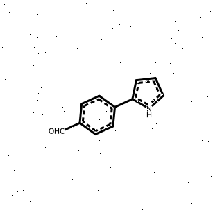 O=Cc1ccc(-c2ccc[nH]2)cc1